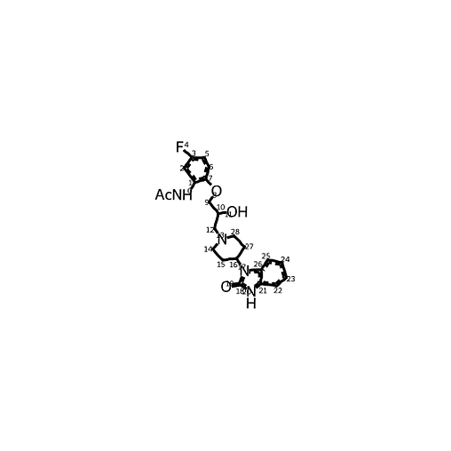 CC(=O)Nc1cc(F)ccc1OCC(O)CN1CCC(n2c(=O)[nH]c3ccccc32)CC1